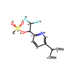 COC(OC)c1ccc(C(OS(C)(=O)=O)C(F)F)nc1